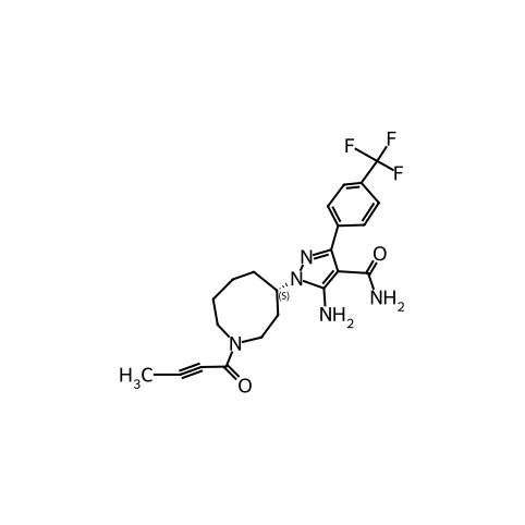 CC#CC(=O)N1CCCC[C@H](n2nc(-c3ccc(C(F)(F)F)cc3)c(C(N)=O)c2N)CC1